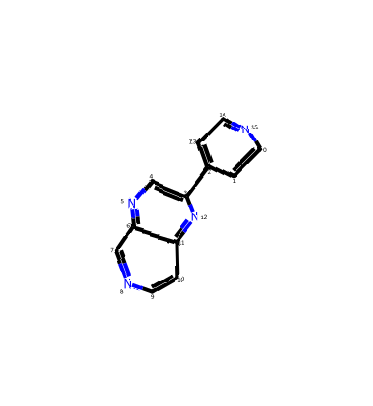 c1cc(-c2cnc3cnccc3n2)ccn1